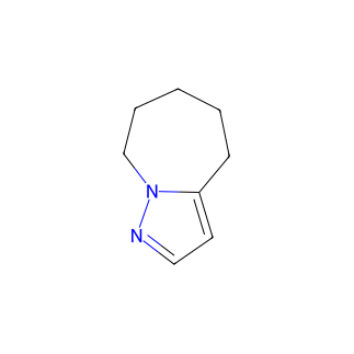 c1cc2n(n1)CCCCC2